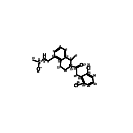 CC1c2cccc(CN[S+](C)[O-])c2CCN1C(=O)Cc1c(Cl)cccc1Cl